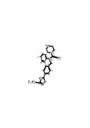 O=C(N1CCNCC1)N(Cc1ccc(-c2nnc(C(F)(F)F)o2)cc1)c1ccccn1